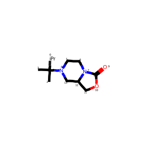 CC(C)C(C)(C)N1CCN2C(=O)OCC2C1